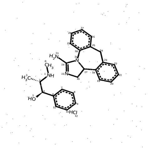 CN[C@@H](C)[C@H](O)c1ccccc1.Cl.NC1=NCC2c3ccccc3Cc3ccccc3N12